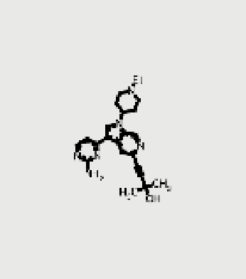 CCN1CCC(n2cc(-c3ccnc(N)n3)c3cc(C#CC(C)(C)O)ncc32)CC1